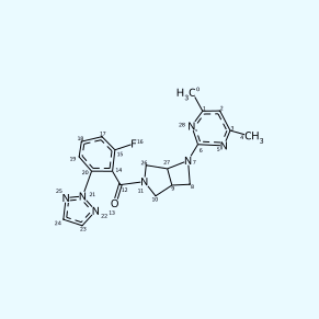 Cc1cc(C)nc(N2CC3CN(C(=O)c4c(F)cccc4-n4nccn4)CC32)n1